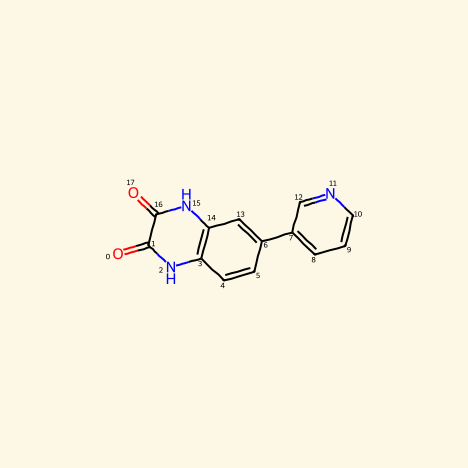 O=c1[nH]c2ccc(-c3cccnc3)cc2[nH]c1=O